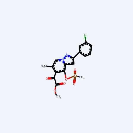 COC(=O)C(=O)c1c(C)cn2nc(-c3cccc(Br)c3)cc2c1OS(C)(=O)=O